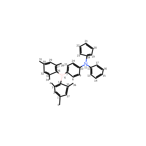 Cc1cc(C)c(B(c2ccc(N(c3ccccc3)c3ccccc3)cc2)c2c(C)cc(C)cc2C)c(C)c1